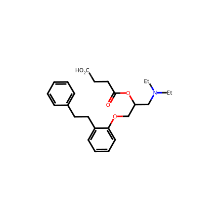 CCN(CC)CC(COc1ccccc1CCc1ccccc1)OC(=O)CCC(=O)O